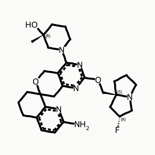 C[C@@]1(O)CCCN(c2nc(OC[C@@]34CCCN3C[C@H](F)C4)nc3c2COC2(CCCc4ccc(N)nc42)C3)C1